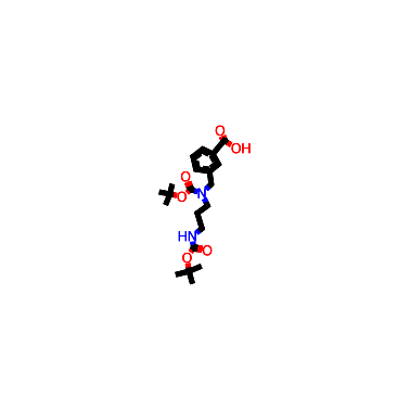 CC(C)(C)OC(=O)NCCCN(Cc1cccc(C(=O)O)c1)C(=O)OC(C)(C)C